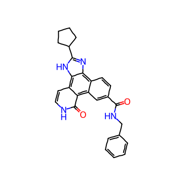 O=C(NCc1ccccc1)c1ccc2c(c1)c1c(=O)[nH]ccc1c1[nH]c(C3CCCC3)nc21